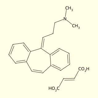 CN(C)CCC=C1c2ccccc2C=Cc2ccccc21.O=C(O)C=CC(=O)O